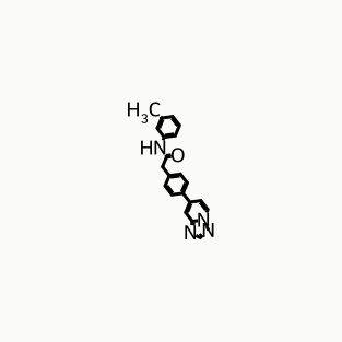 Cc1cccc(NC(=O)Cc2ccc(-c3ccn4ncnc4c3)cc2)c1